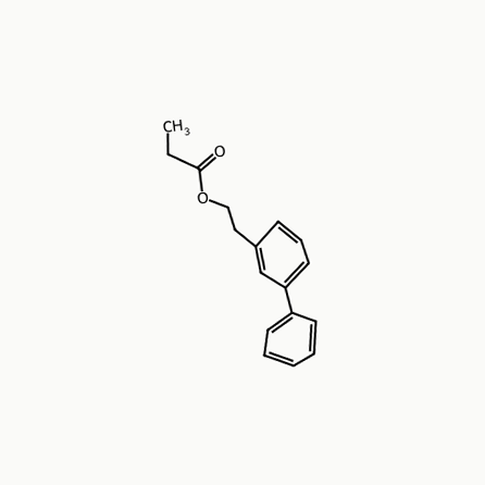 CCC(=O)OCCc1cccc(-c2ccccc2)c1